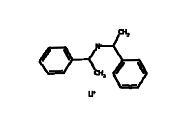 CC([N-]C(C)c1ccccc1)c1ccccc1.[Li+]